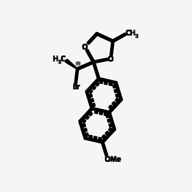 COc1ccc2cc(C3([C@H](C)Br)OCC(C)O3)ccc2c1